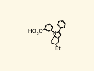 CCC1CCc2c(cc(-c3ccccc3)n2-c2cccc(C(=O)O)c2)C1